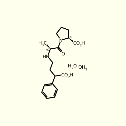 C[C@H](NCCC(C(=O)O)c1ccccc1)C(=O)N1CCC[C@H]1C(=O)O.O.O